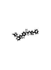 Cc1cn(-c2nccc3[nH]c(-c4ccc(NC(=O)Cc5cc(-c6cccnc6)no5)cc4)cc23)cn1